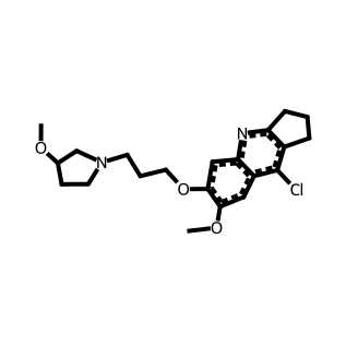 COc1cc2c(Cl)c3c(nc2cc1OCCCN1CCC(OC)C1)CCC3